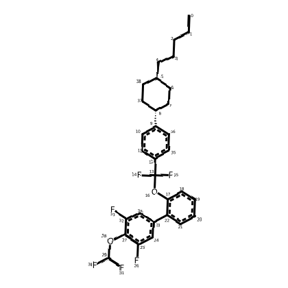 CCCCC[C@H]1CC[C@H](c2ccc(C(F)(F)Oc3ccccc3-c3cc(F)c(OC(F)F)c(F)c3)cc2)CC1